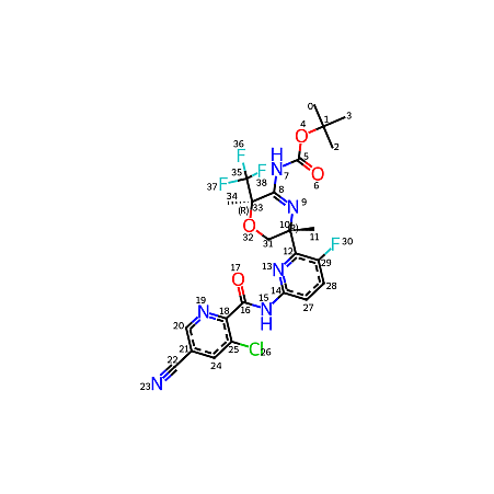 CC(C)(C)OC(=O)NC1=N[C@](C)(c2nc(NC(=O)c3ncc(C#N)cc3Cl)ccc2F)CO[C@@]1(C)C(F)(F)F